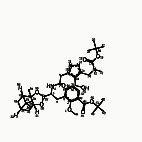 COc1c(C[C@H](NC(=O)Cn2nnc(CN(C)C(=O)OC(C)(C)C)c2CO)B2O[C@@H]3C[C@@H]4C[C@@H](C4(C)C)[C@]3(C)O2)cccc1C(=O)OC(C)(C)C